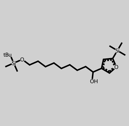 CC(C)(C)[Si](C)(C)OCCCCCCCCC(O)c1coc([Si](C)(C)C)c1